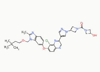 Cc1nc2ccc(Oc3ccc4ncc(-c5cnn(C6CN(C(=O)N7CC(O)C7)C6)c5)nc4c3Cl)cc2n1COCC[Si](C)(C)C